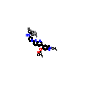 COCOc1cc2nn(C)cc2cc1-c1cnc2nc(N3CCC(NC(C)(C)C)C3)ccc2c1